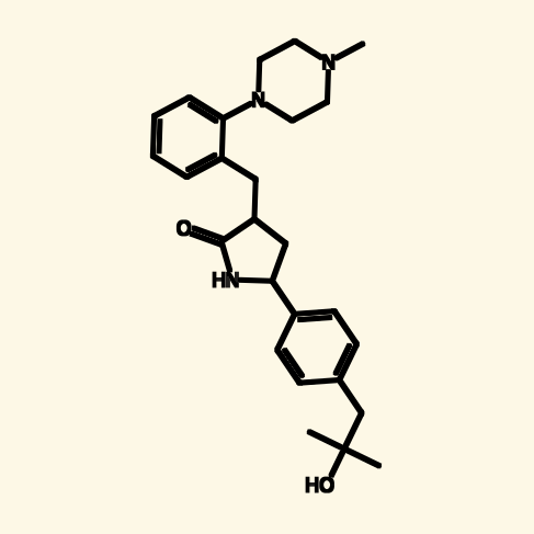 CN1CCN(c2ccccc2CC2CC(c3ccc(CC(C)(C)O)cc3)NC2=O)CC1